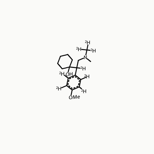 [2H]c1c([2H])c(C([2H])(CN(C)C([2H])([2H])[2H])C2(O)CCCCC2)c([2H])c([2H])c1OC